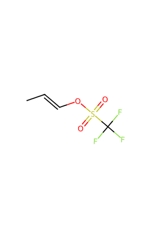 C/C=C/OS(=O)(=O)C(F)(F)F